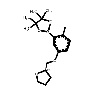 CC1(C)OB(c2cc(OC[C@H]3CCCO3)ccc2F)OC1(C)C